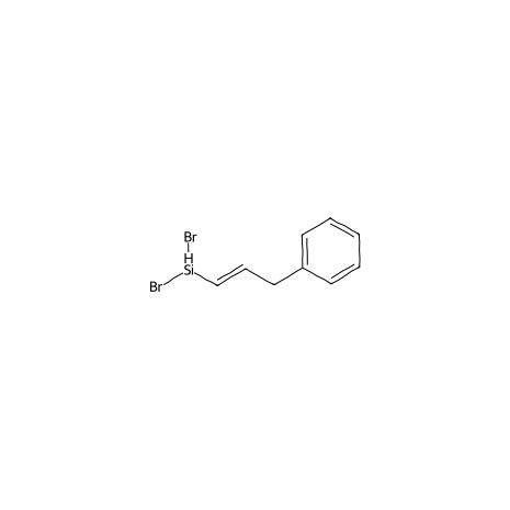 Br[SiH](Br)C=CCc1ccccc1